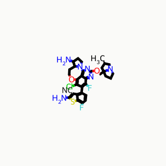 C[C@H]1CN2CCCC2(COc2nc3c4c(c(Cl)c(-c5ccc(F)c6sc(N)c(C#N)c56)c(F)c4n2)OCCC2C(N)CCN32)C1